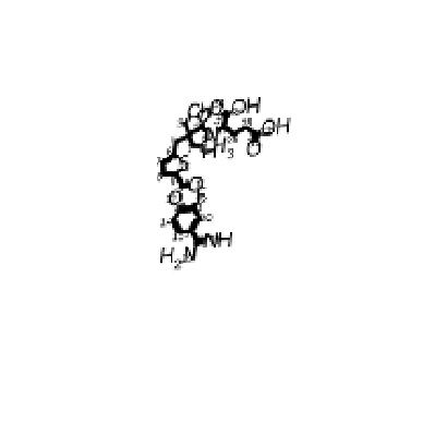 CCC(CC)(Cc1ccc(C(=O)Oc2ccc(C(=N)N)cc2F)s1)C(=O)NC(CCC(=O)O)C(=O)O